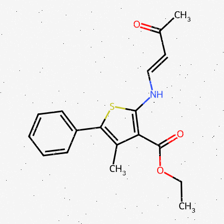 CCOC(=O)c1c(NC=CC(C)=O)sc(-c2ccccc2)c1C